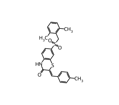 Cc1ccc(/C=C2\Sc3cc(S(=O)(=O)Cc4c(C)cccc4C)ccc3NC2=O)cc1